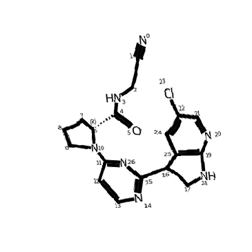 N#CCNC(=O)[C@H]1CCCN1c1ccnc(C2CNc3ncc(Cl)cc32)n1